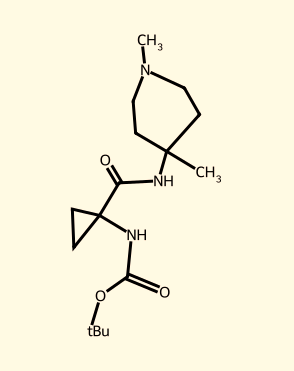 CN1CCC(C)(NC(=O)C2(NC(=O)OC(C)(C)C)CC2)CC1